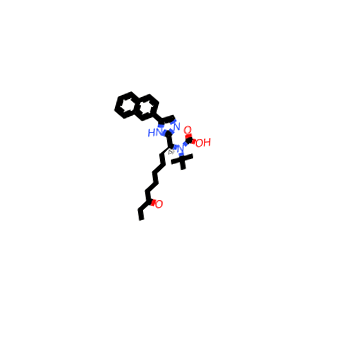 CCC(=O)CCCCC[C@@H](c1ncc(-c2ccc3ccccc3c2)[nH]1)N(C(=O)O)C(C)(C)C